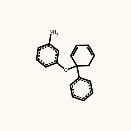 Nc1cccc(OC2(c3ccccc3)C=CC=CC2)c1